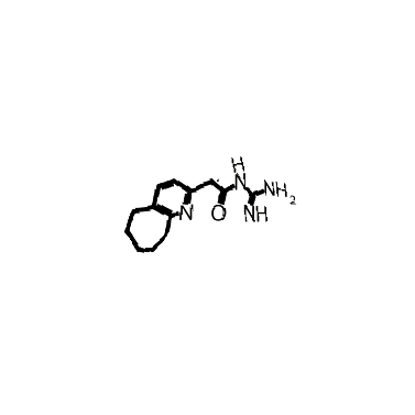 N=C(N)NC(=O)[CH]c1ccc2c(n1)CCCCC2